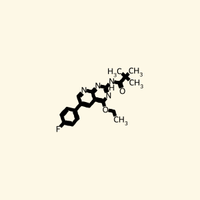 CCOc1nc(NC(=O)C(C)(C)C)nc2ncc(-c3ccc(F)cc3)cc12